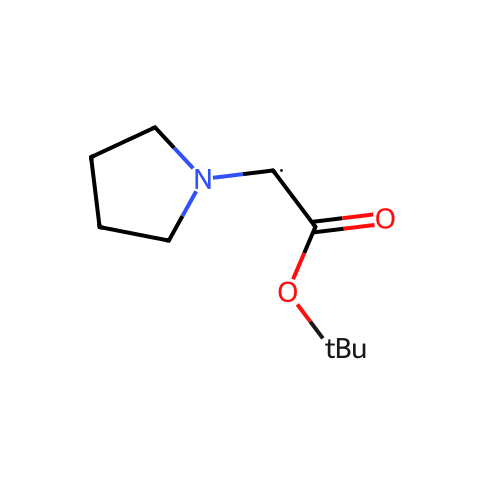 CC(C)(C)OC(=O)[CH]N1CCCC1